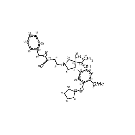 COc1ccc([C@@H]2CN(CCC(=O)OCc3ccccc3)C[C@@]2(C)C(C)O)cc1OC1CCCC1